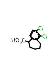 O=C(O)C1CCCCc2c1ccc(Cl)c2Cl